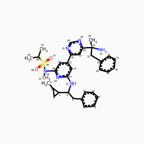 CC1CC1C(Cc1ccccc1)Nc1cc(-c2cc([C@](C)(N)Cc3ccccc3)ncn2)cc(N(C)S(=O)(=O)C(C)C)n1